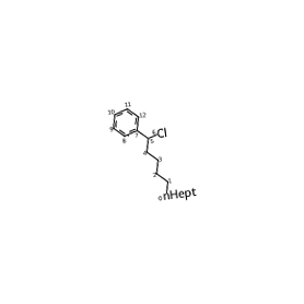 CCCCCCCCCCCC(Cl)c1[c]cccc1